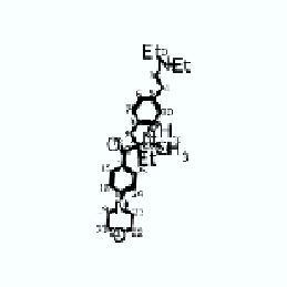 CCN(CC)CCc1ccc(CC(CC)(C(=O)c2ccc(N3CCOCC3)cc2)N(C)C)cc1